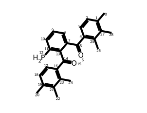 Cc1ccc(C(=O)c2cccc(P)c2C(=O)c2ccc(C)c(C)c2C)c(C)c1C